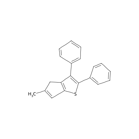 CC1=Cc2sc(-c3ccccc3)c(-c3ccccc3)c2C1